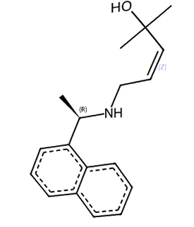 C[C@@H](NC/C=C\C(C)(C)O)c1cccc2ccccc12